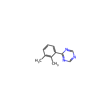 Cc1cccc(-c2ncncn2)c1C